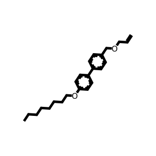 C=CCOCc1ccc(-c2ccc(OCCCCCCCC)cc2)cc1